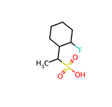 CC(C1CCCCC1F)S(=O)(=O)O